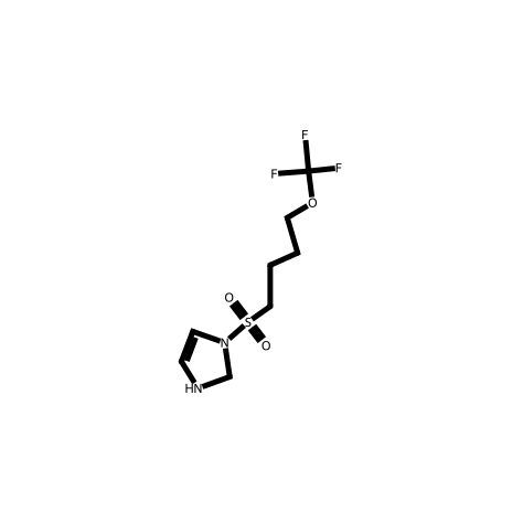 O=S(=O)(CCCCOC(F)(F)F)N1C=CNC1